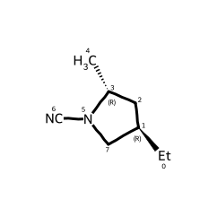 CC[C@@H]1C[C@@H](C)N(C#N)C1